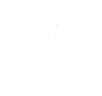 NC1=N[C@@]2(CCN(C(=O)OCc3ccccc3)C[C@@H]2F)Nc2c(F)ccc(F)c21